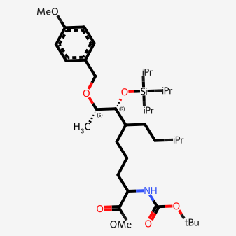 COC(=O)C(CCCC(CCC(C)C)[C@@H](O[Si](C(C)C)(C(C)C)C(C)C)[C@H](C)OCc1ccc(OC)cc1)NC(=O)OC(C)(C)C